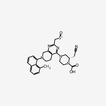 Cc1cccc2cccc(N3CCc4c(nc(C[S+]=O)nc4N4CCN(C(=O)O)[C@@H](CC#N)C4)C3)c12